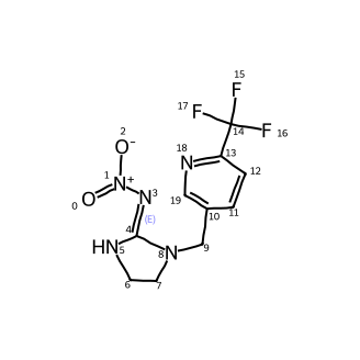 O=[N+]([O-])/N=C1\NCCN1Cc1ccc(C(F)(F)F)nc1